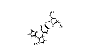 CC(C)Cc1nc(CC(C)C)n(Cc2ccc(-n3ccc(Cl)c3-c3nnn[nH]3)cc2)n1